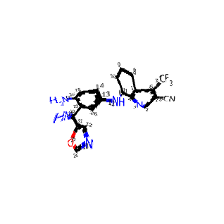 N#Cc1cnc2c(c1C(F)(F)F)CCC[C@H]2Nc1ccc(N)c(C(=N)c2cnco2)c1